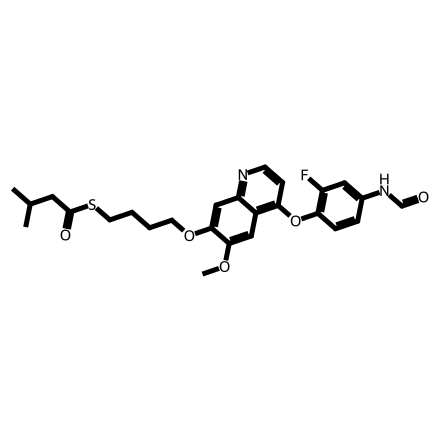 COc1cc2c(Oc3ccc(NC=O)cc3F)ccnc2cc1OCCCCSC(=O)CC(C)C